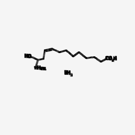 B.CCCCCCC(O)C/C=C\CCCCCCCC(=O)O